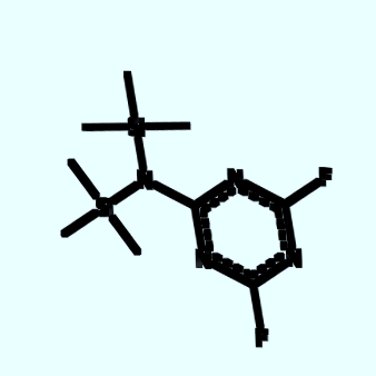 C[Si](C)(C)N(c1nc(F)nc(F)n1)[Si](C)(C)C